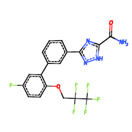 NC(=O)c1nc(-c2cccc(-c3cc(F)ccc3OCC(F)(F)C(F)(F)F)c2)n[nH]1